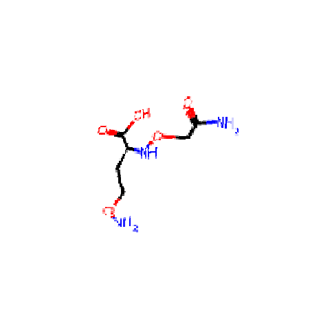 NOCC[C@H](NOCC(N)=O)C(=O)O